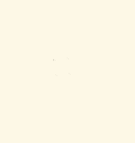 O=S(=O)(Nc1nc2ccccc2nc1Nc1ccc(Cl)cc1)c1ccc(Br)cc1